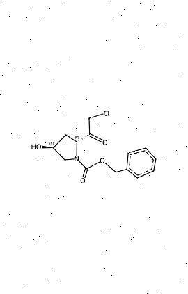 O=C(CCl)[C@H]1C[C@H](O)CN1C(=O)OCc1ccccc1